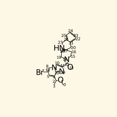 COC(C)c1cc(Br)cn2cc(C(=O)N3CCC4(CC3)Cc3ccccc3CN4)nc12